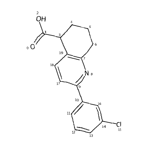 O=C(O)C1CCCc2nc(-c3cccc(Cl)c3)ccc21